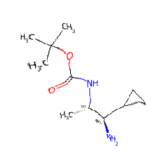 C[C@H](NC(=O)OC(C)(C)C)[C@H](N)C1CC1